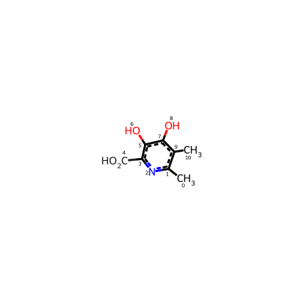 Cc1nc(C(=O)O)c(O)c(O)c1C